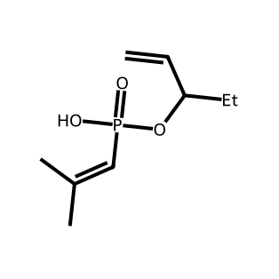 C=CC(CC)OP(=O)(O)C=C(C)C